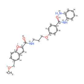 COCc1ccc2oc(C(=O)NCCCOc3ccc(C(=O)Nc4ccccc4N)cc3)cc2c1